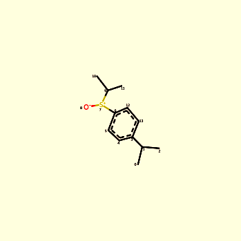 CC(C)c1ccc([S+]([O-])C(C)C)cc1